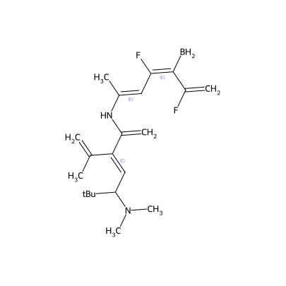 B/C(C(=C)F)=C(F)/C=C(\C)NC(=C)/C(=C/C(N(C)C)C(C)(C)C)C(=C)C